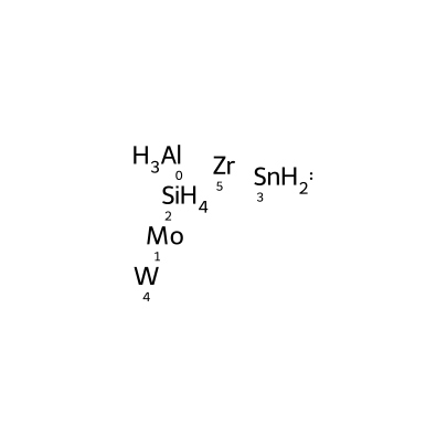 [AlH3].[Mo].[SiH4].[SnH2].[W].[Zr]